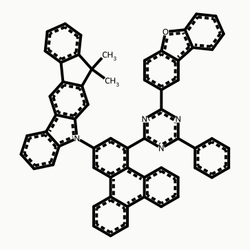 CC1(C)c2ccccc2-c2cc3c4ccccc4n(-c4cc(-c5nc(-c6ccccc6)nc(-c6ccc7oc8ccccc8c7c6)n5)c5c6ccccc6c6ccccc6c5c4)c3cc21